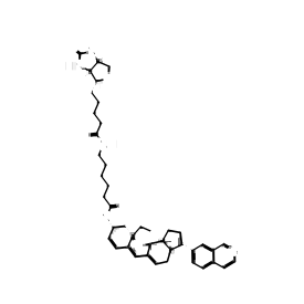 C[C@]12CC=C3C=C4C=C[C@@H](NC(=O)CCCCCNC(=O)CCCC[C@@H]5SC[C@@H]6NC(=O)N[C@@H]65)C[C@]45CC[C@]3(O5)[C@@H]1CC[C@@H]2c1ccc2ccncc2c1